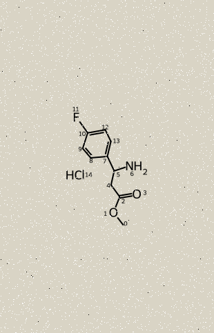 COC(=O)CC(N)c1ccc(F)cc1.Cl